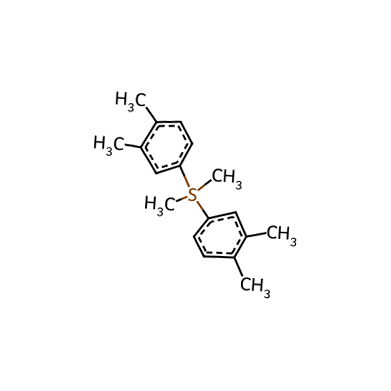 Cc1ccc(S(C)(C)c2ccc(C)c(C)c2)cc1C